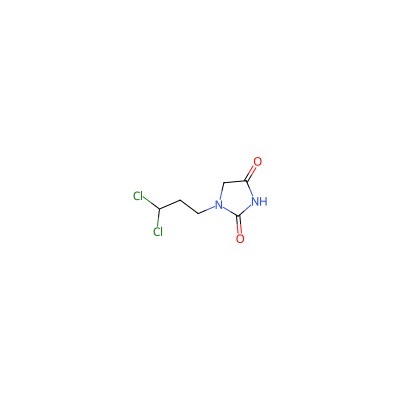 O=C1CN(CCC(Cl)Cl)C(=O)N1